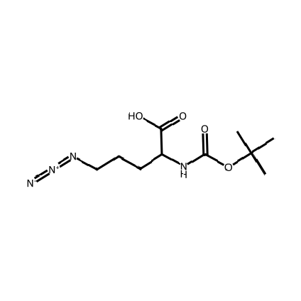 CC(C)(C)OC(=O)NC(CCCN=[N+]=[N-])C(=O)O